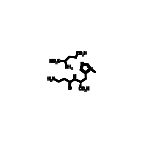 Cn1cncc1C[C@H](NC(=O)CCN)C(=O)O.NC(CCC(=O)O)C(=O)O